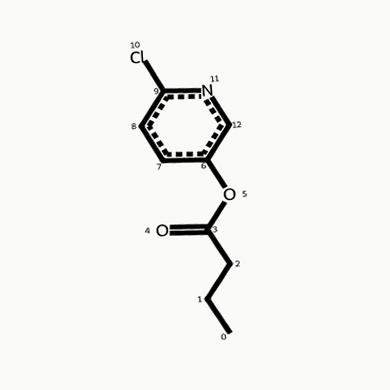 CCCC(=O)Oc1ccc(Cl)nc1